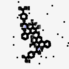 COc1ccccc1-c1cc(Sc2cc(-c3ccccc3OC)c(/C=C/C(=O)N3CCC(C(=O)O)CC3)c(C(F)(F)F)c2Cl)c(Cl)c(C(F)(F)F)c1/C=C/C(=O)N1CCC(C(=O)O)CC1